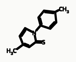 Cc1ccc(-n2ccc(C)cc2=S)cc1